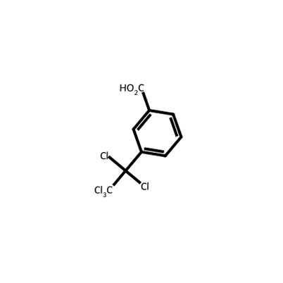 O=C(O)c1cccc(C(Cl)(Cl)C(Cl)(Cl)Cl)c1